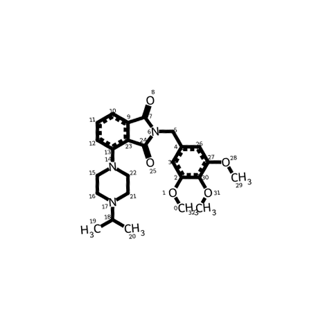 COc1cc(CN2C(=O)c3cccc(N4CCN(C(C)C)CC4)c3C2=O)cc(OC)c1OC